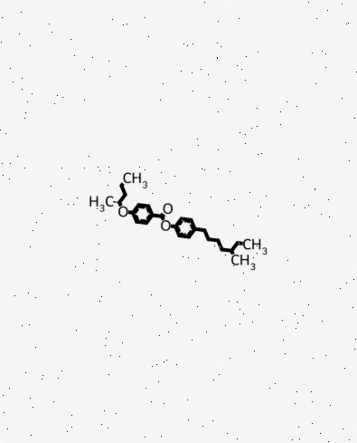 CCC[C@@H](C)Oc1ccc(C(=O)Oc2ccc(CCCCC(C)CC)cc2)cc1